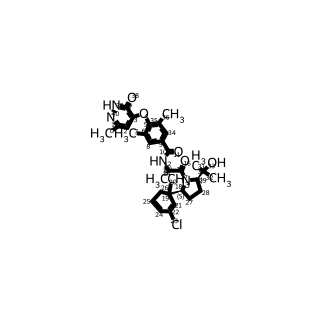 Cc1cc(Oc2c(C)cc(C(=O)N[C@H](C)C(=O)N3[C@H](C4(C)C=C(Cl)C=CC4)CC[C@@H]3C(C)(C)O)cc2C)c(=O)[nH]n1